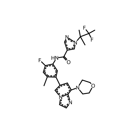 Cc1cc(F)c(NC(=O)c2cnn(C(C)(C)C(C)(F)F)c2)cc1-c1cc(N2CCOCC2)c2nccn2c1